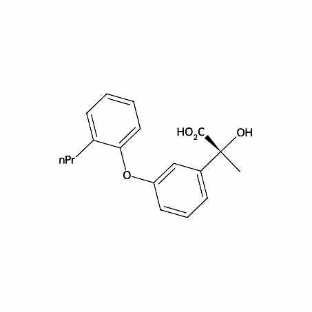 CCCc1ccccc1Oc1cccc([C@@](C)(O)C(=O)O)c1